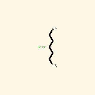 CCCCC[CH2][Al+2].[Br-].[Br-]